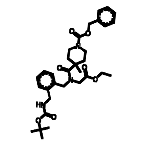 CCOC(=O)CN(Cc1ccccc1CNC(=O)OC(C)(C)C)C(=O)C1(C)CCN(C(=O)OCc2ccccc2)CC1